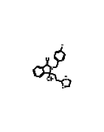 O=C1c2ccccc2C(O)(CCC2OCCO2)N1Cc1ccc(F)cc1